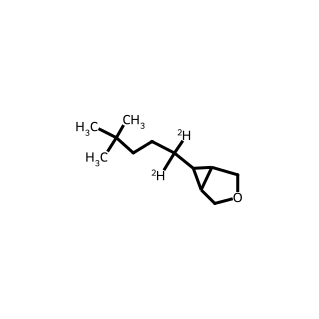 [2H]C([2H])(CCC(C)(C)C)C1C2COCC21